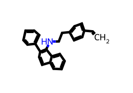 C=Cc1ccc(CCNc2c(-c3ccccc3)ccc3ccccc23)cc1